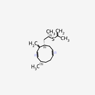 C=C(C)S[C@@H](C)C[C@@H]1C/C=C\CC[C@H](C)/C=C\C1=C